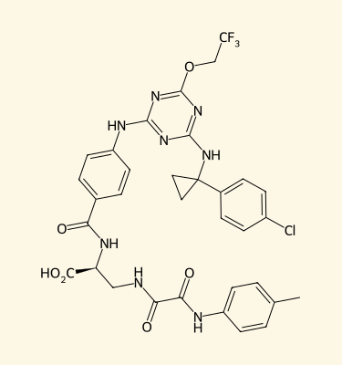 Cc1ccc(NC(=O)C(=O)NC[C@H](NC(=O)c2ccc(Nc3nc(NC4(c5ccc(Cl)cc5)CC4)nc(OCC(F)(F)F)n3)cc2)C(=O)O)cc1